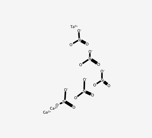 O=[Si]([O-])[O-].O=[Si]([O-])[O-].O=[Si]([O-])[O-].O=[Si]([O-])[O-].O=[Si]([O-])[O-].[Ca+2].[Ga+3].[Ta+5]